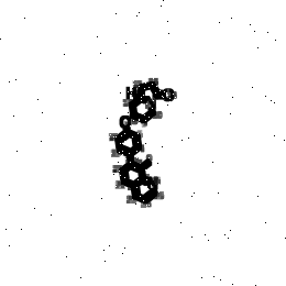 Cc1c(-c2ccc(O[C@H]3CCN4C(=O)CC[C@H]4C3)cc2)ccc2cccnc12